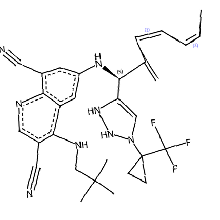 C=C(/C=C\C=C/C)[C@H](Nc1cc(C#N)c2ncc(C#N)c(NCC(C)(C)C)c2c1)C1=CN(C2(C(F)(F)F)CC2)NN1